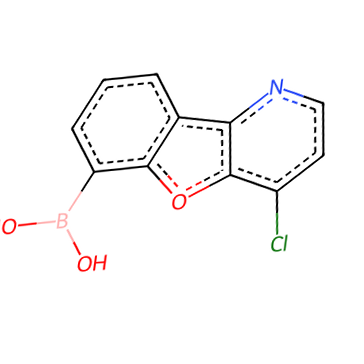 OB(O)c1cccc2c1oc1c(Cl)ccnc12